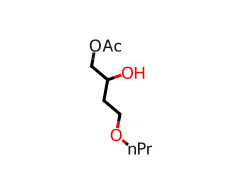 CCCOCCC(O)COC(C)=O